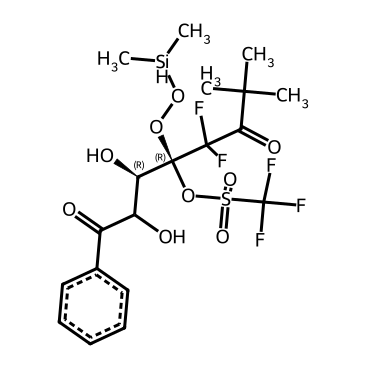 C[SiH](C)OO[C@@](OS(=O)(=O)C(F)(F)F)([C@H](O)C(O)C(=O)c1ccccc1)C(F)(F)C(=O)C(C)(C)C